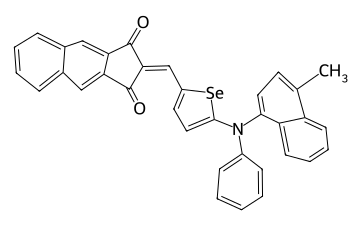 Cc1ccc(N(c2ccccc2)c2ccc(C=C3C(=O)c4cc5ccccc5cc4C3=O)[se]2)c2ccccc12